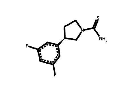 NC(=S)N1CC[C@H](c2cc(F)cc(F)c2)C1